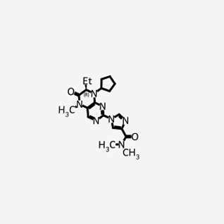 CC[C@@H]1C(=O)N(C)c2cnc(-n3cnc(C(=O)N(C)C)c3)nc2N1C1CCCC1